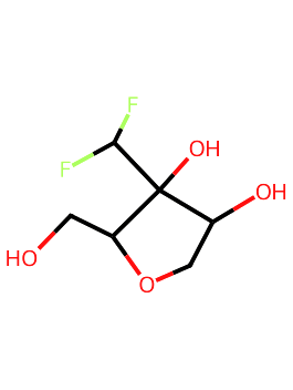 OCC1OCC(O)C1(O)C(F)F